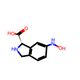 O=C(O)[C@H]1NCc2ccc(NO)cc21